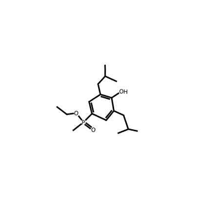 CCOP(C)(=O)c1cc(CC(C)C)c(O)c(CC(C)C)c1